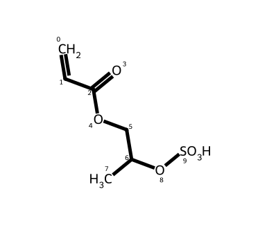 C=CC(=O)OCC(C)OS(=O)(=O)O